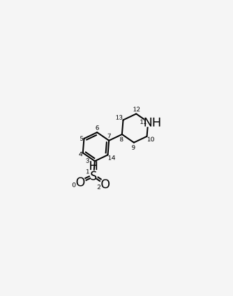 O=[SH](=O)c1cccc(C2CCNCC2)c1